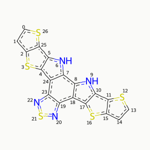 c1cc2sc3c([nH]c4c5[nH]c6c7sccc7sc6c5c5nsnc5c43)c2s1